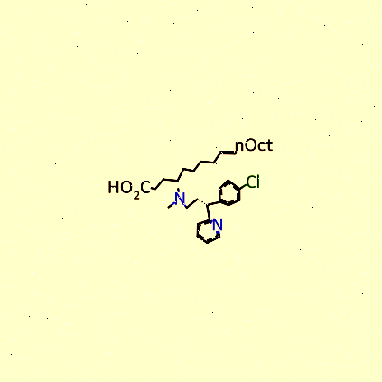 CCCCCCCCC=CCCCCCCCC(=O)O.CN(C)CC[C@H](c1ccc(Cl)cc1)c1ccccn1